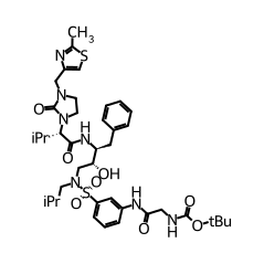 Cc1nc(CN2CCN([C@H](C(=O)N[C@@H](Cc3ccccc3)[C@H](O)CN(CC(C)C)S(=O)(=O)c3cccc(NC(=O)CNC(=O)OC(C)(C)C)c3)C(C)C)C2=O)cs1